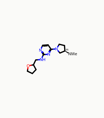 CN[C@@H]1CCN(c2ccnc(NCC3CCCO3)n2)C1